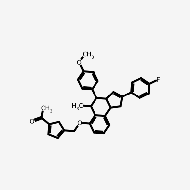 COc1ccc(C2C(C)c3c(OCC4=CC=C(C(C)=O)C4)cccc3C3CC(c4ccc(F)cc4)=CC32)cc1